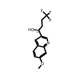 COc1ccc2cc([C@@H](O)CCC(F)(F)F)cnc2c1